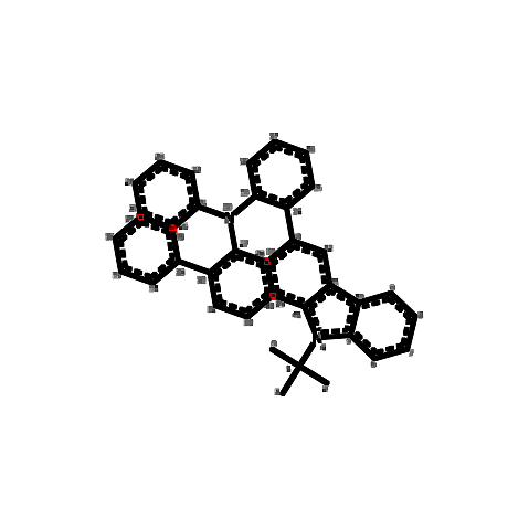 CC(C)(C)n1c2ccccc2c2cc(-c3ccccc3N(c3ccccc3)c3ccccc3-c3ccccc3)ccc21